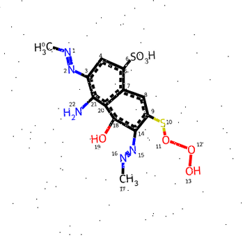 CN=Nc1cc(S(=O)(=O)O)c2cc(SOOO)c(N=NC)c(O)c2c1N